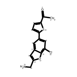 CC(=O)c1ccc(-c2cc(Cl)c3oc(CN)cc3c2)s1